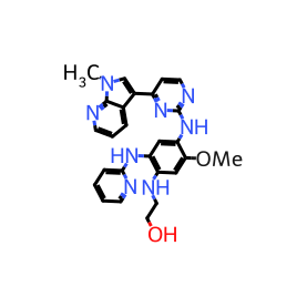 COc1cc(NCCO)c(Nc2ccccn2)cc1Nc1nccc(-c2cn(C)c3ncccc23)n1